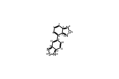 [c]1ccc2nonc2c1-c1ccc2nsnc2c1